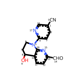 N#Cc1ccc(N2CCC(O)c3ccc(C=O)nc32)nc1